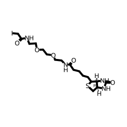 O=C(CI)NCCOCCOCCNC(=O)CCCCC1SC[C@@H]2NC(=O)N[C@H]12